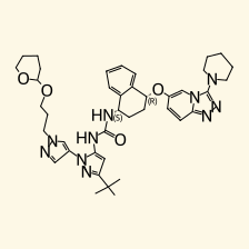 CC(C)(C)c1cc(NC(=O)N[C@H]2CC[C@@H](Oc3ccc4nnc(N5CCCCC5)n4c3)c3ccccc32)n(-c2cnn(CCCOC3CCCCO3)c2)n1